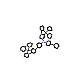 c1ccc(-c2ccc(N(c3ccc(-c4ccc5c(c4)C4(c6ccccc6-c6ccccc64)c4ccccc4-5)cc3)c3ccc4c(c3)C(c3ccccc3)(c3ccccc3)c3ccccc3-4)cc2)cc1